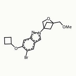 COCC12CC(n3cc4cc(Br)c(OC5CCC5)cc4n3)(CO1)C2